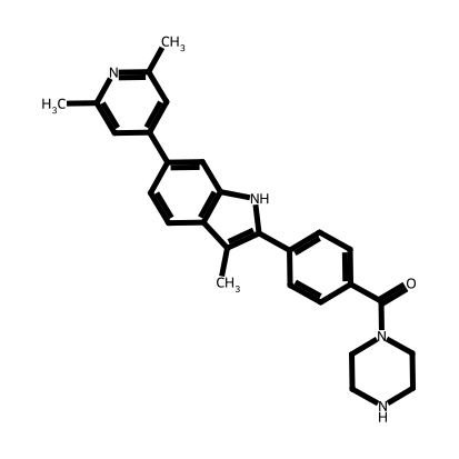 Cc1cc(-c2ccc3c(C)c(-c4ccc(C(=O)N5CCNCC5)cc4)[nH]c3c2)cc(C)n1